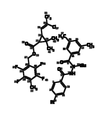 CCc1ccc(C(=O)NN(C(=O)c2cc(C)cc(C)c2)C(C)(C)C)cc1.Cc1c(F)c(F)c(COC(=O)C2C(/C=C(\Cl)C(F)(F)F)C2(C)C)c(F)c1F